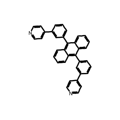 c1cc(-c2ccncc2)cc(-c2c3ccccc3c(-c3cccc(-c4ccncc4)c3)c3ccccc23)c1